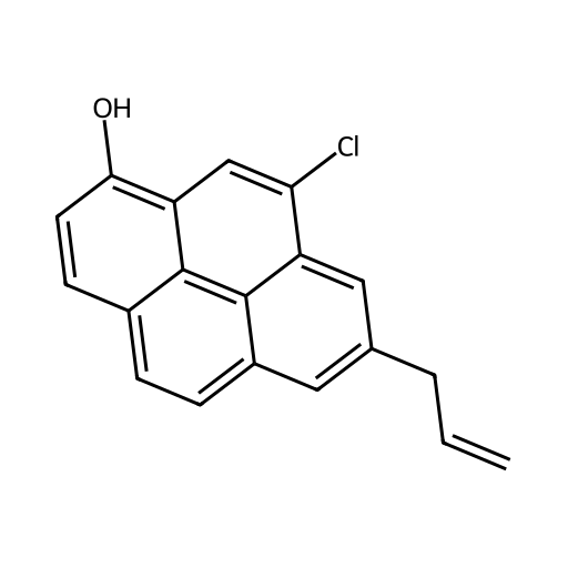 C=CCc1cc2ccc3ccc(O)c4cc(Cl)c(c1)c2c34